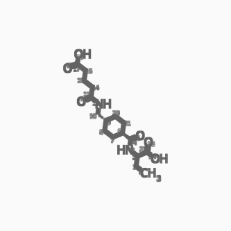 CCC(NC(=O)[C@H]1CC[C@H](CNC(=O)CCCC(=O)O)CC1)C(=O)O